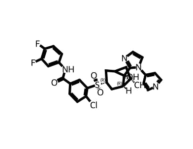 C[C@H]1CC2C[C@@H](S(=O)(=O)c3cc(C(=O)Nc4ccc(F)c(F)c4)ccc3Cl)C[C@H]1[C@@]2(O)c1nccn1-c1ccncc1